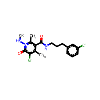 CCCNn1c(C)c(C(=O)NCCCc2cccc(Cl)c2)c(C)c(Br)c1=O